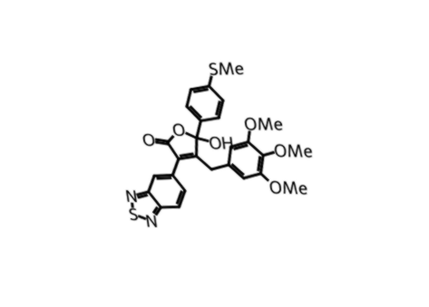 COc1cc(CC2=C(c3ccc4nsnc4c3)C(=O)OC2(O)c2ccc(SC)cc2)cc(OC)c1OC